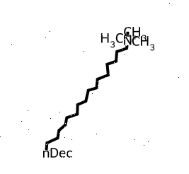 CCCCCCCCCCCCCCCCCCCCCCCCCC[N+](C)(C)C